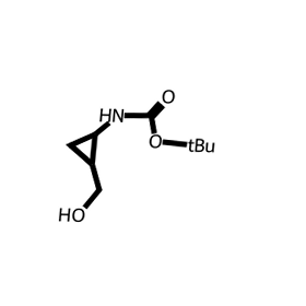 CC(C)(C)OC(=O)NC1CC1CO